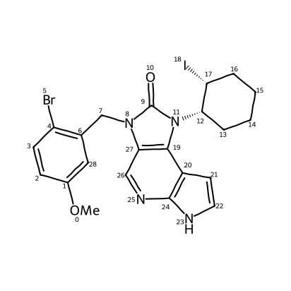 COc1ccc(Br)c(Cn2c(=O)n([C@H]3CCCC[C@H]3I)c3c4cc[nH]c4ncc32)c1